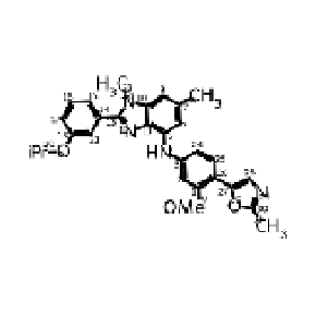 COc1cc(Nc2cc(C)cc3c2nc(-c2cccc(OC(C)C)c2)n3C)ccc1-c1cnc(C)o1